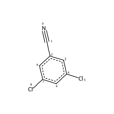 N#Cc1[c]c(Cl)cc(Cl)c1